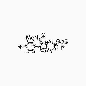 CNC(=O)c1c(-c2ccc(F)cc2)oc2ccc(OC(F)F)cc12